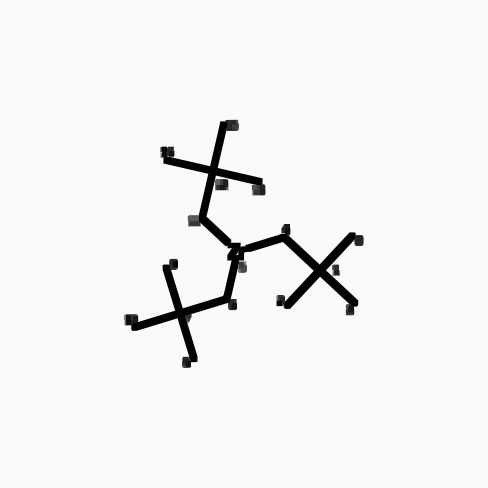 CC(C)(C)[CH2][Zr]([CH2]C(C)(C)C)[CH2]C(C)(C)C